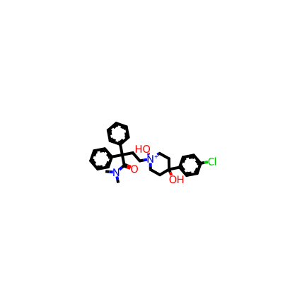 CN(C)C(=O)C(CC[N+]1(O)CCC(O)(c2ccc(Cl)cc2)CC1)(c1ccccc1)c1ccccc1